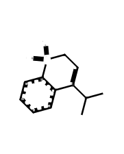 CC(C)C1=CCS(=O)(=O)c2ccccc21